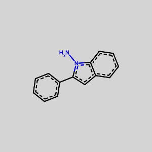 Nn1c(-c2ccccc2)cc2ccccc21